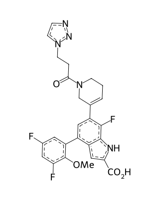 COc1c(F)cc(F)cc1-c1cc(C2=CCCN(C(=O)CCn3ccnn3)C2)c(F)c2[nH]c(C(=O)O)cc12